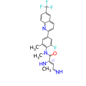 CN/C(=C\C=N)C(=O)N(C)c1c(C)cc(-c2ccc3cc(C(F)(F)F)ccc3n2)cc1F